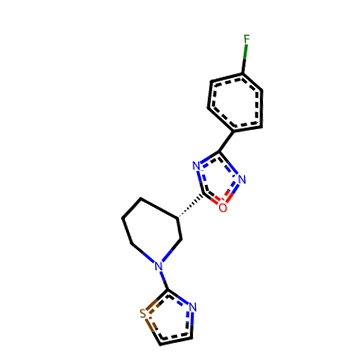 Fc1ccc(-c2noc([C@H]3CCCN(c4nccs4)C3)n2)cc1